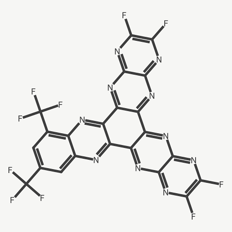 Fc1nc2nc3c4nc5cc(C(F)(F)F)cc(C(F)(F)F)c5nc4c4nc5nc(F)c(F)nc5nc4c3nc2nc1F